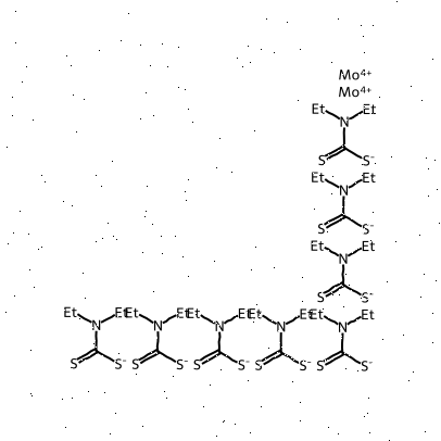 CCN(CC)C(=S)[S-].CCN(CC)C(=S)[S-].CCN(CC)C(=S)[S-].CCN(CC)C(=S)[S-].CCN(CC)C(=S)[S-].CCN(CC)C(=S)[S-].CCN(CC)C(=S)[S-].CCN(CC)C(=S)[S-].[Mo+4].[Mo+4]